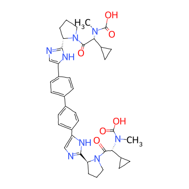 CN(C(=O)O)[C@@H](C(=O)N1CCC[C@H]1c1ncc(-c2ccc(-c3ccc(-c4cnc([C@@H]5CCCN5C(=O)[C@@H](C5CC5)N(C)C(=O)O)[nH]4)cc3)cc2)[nH]1)C1CC1